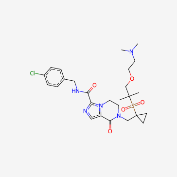 CN(C)CCOCC(C)(C)S(=O)(=O)C1(CN2CCn3c(cnc3C(=O)NCc3ccc(Cl)cc3)C2=O)CC1